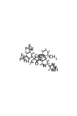 Cc1ccccc1-c1cc(-c2c[nH]nn2)ncc1N(C)C(=O)C(C)(C)c1cc(C(F)(F)F)cc(C(F)(F)F)c1